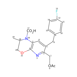 CC(=O)OCc1nc2c(cc1Cc1ccc(F)cc1)N(C(=O)O)C(C)CO2